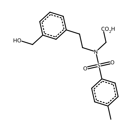 Cc1ccc(S(=O)(=O)N(CCc2cccc(CO)c2)CC(=O)O)cc1